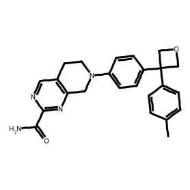 Cc1ccc(C2(c3ccc(N4CCc5cnc(C(N)=O)nc5C4)cc3)COC2)cc1